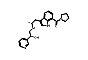 C[C@H](Cc1c[nH]c2c(C(=O)N3CCCC3)cccc12)NC[C@@H](O)c1cccnc1